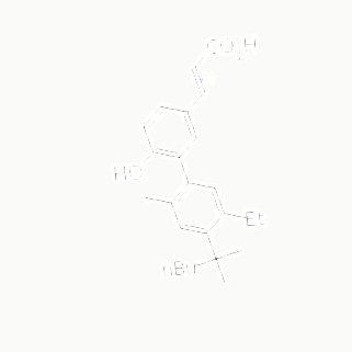 CCCCC(C)(C)c1cc(C)c(-c2cc(/C=C/C(=O)O)ccc2O)cc1CC